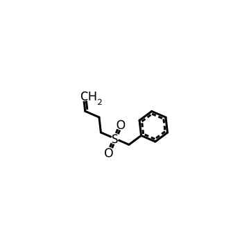 C=CCCS(=O)(=O)Cc1ccccc1